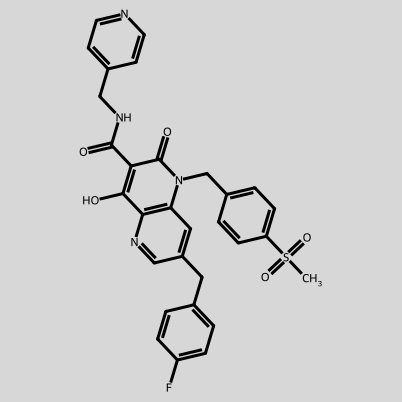 CS(=O)(=O)c1ccc(Cn2c(=O)c(C(=O)NCc3ccncc3)c(O)c3ncc(Cc4ccc(F)cc4)cc32)cc1